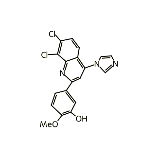 COc1ccc(-c2cc(-n3ccnc3)c3ccc(Cl)c(Cl)c3n2)cc1O